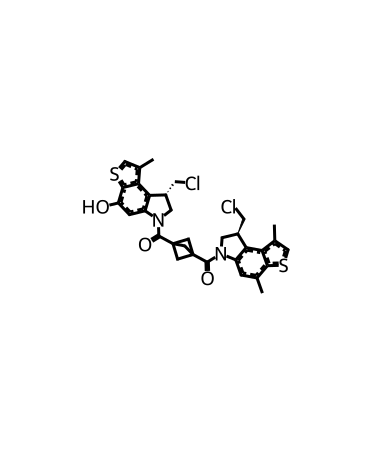 Cc1cc2c(c3c(C)csc13)[C@H](CCl)CN2C(=O)C12CC(C(=O)N3C[C@@H](CCl)c4c3cc(O)c3scc(C)c43)(C1)C2